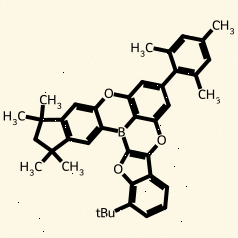 Cc1cc(C)c(-c2cc3c4c(c2)Oc2c(oc5c(C(C)(C)C)cccc25)B4c2cc4c(cc2O3)C(C)(C)CC4(C)C)c(C)c1